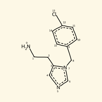 NCCc1cncn1Cc1ccc(Cl)cc1